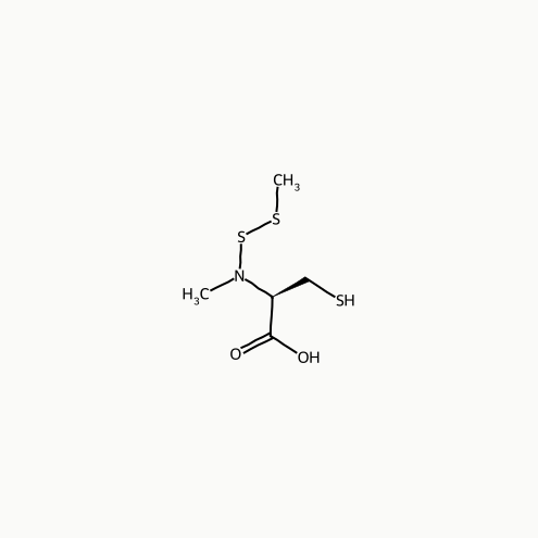 CSSN(C)[C@@H](CS)C(=O)O